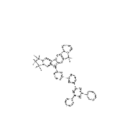 CC1(C)c2ccccc2-c2cc3c4cc5c(cc4n(-c4cccc(-c6cccc(-c7nc(-c8ccccc8)nc(-c8ccccc8)n7)c6)c4)c3cc21)C(C)(C)C(C)(C)C5(C)C